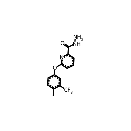 Cc1ccc(Oc2cccc(C(=O)NN)n2)cc1C(F)(F)F